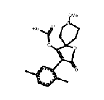 CON1CCC2(CC1)OC(=O)C(c1cc(C)ccc1C)=C2OC(=O)C(C)(C)C